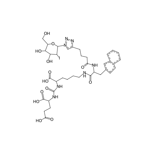 O=C(O)CCC(NC(=O)NC(CCCCNC(=O)C(Cc1ccc2ccccc2c1)NC(=O)CCCc1cn(C2OC(CO)C(O)C(O)C2I)nn1)C(=O)O)C(=O)O